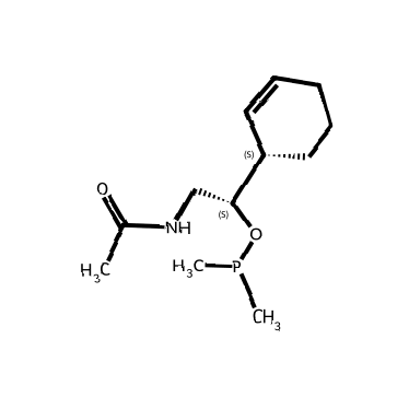 CC(=O)NC[C@@H](OP(C)C)[C@@H]1C=CCCC1